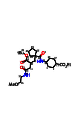 CCOC(=O)C1CCC(NC(=O)C2(CC(CC(=O)NCCOC)C(=O)OC(C)(C)C)CCCC2)CC1